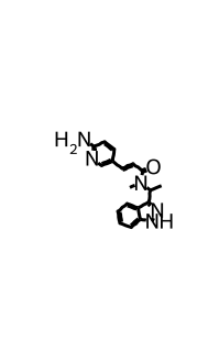 CC(c1n[nH]c2ccccc12)N(C)C(=O)/C=C/c1ccc(N)nc1